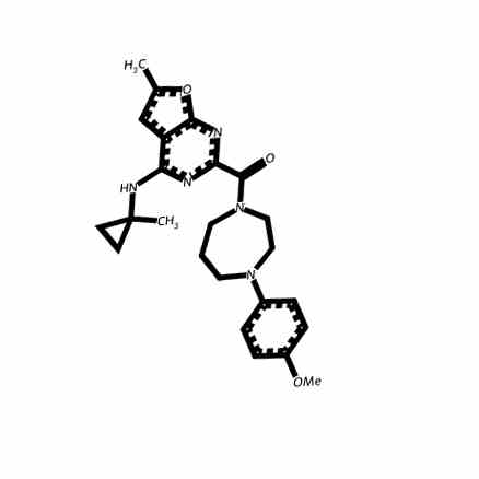 COc1ccc(N2CCCN(C(=O)c3nc(NC4(C)CC4)c4cc(C)oc4n3)CC2)cc1